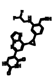 N=Cc1ccc(C2C[C@H]2c2cc(-c3c[nH]c(=O)[nH]c3=O)nn3ccnc23)cc1NCC(F)F